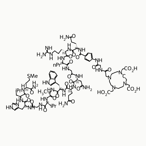 CCC[C@H](NC(=O)[C@H](CCCNC(=N)N)NC(=O)[C@H](CCC(N)=O)NC(=O)c1ccc(NC(=O)CNC(=O)CN2CCN(CC(=O)O)CCN(CC(=O)O)CCN(CC(=O)O)CC2)cc1)C(=O)NCC(=O)N[C@@H](CC(N)=O)C(=O)N[C@@H](CCC(N)=O)C(=O)N[C@@H](Cc1c[nH]c2ccccc12)C(=O)N[C@@H](C)C(=O)N[C@H](C(=O)NCC(=O)N[C@@H](Cc1c[nH]cn1)C(=O)N[C@@H](CC(C)C)C(=O)N[C@@H](CCSC)C(N)=O)C(C)C